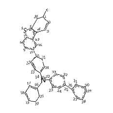 CC1C=Cc2c(sc3ccc(C4C=CC(N(C5=CC=CCC5)c5ccc(-c6ccccc6)cc5)=CC4)cc23)C1